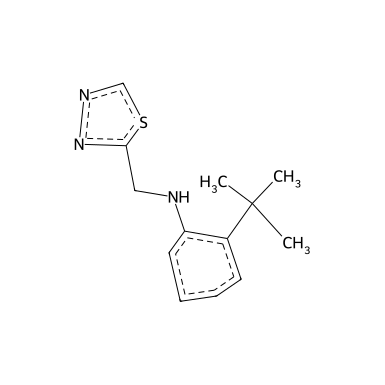 CC(C)(C)c1ccccc1NCc1nncs1